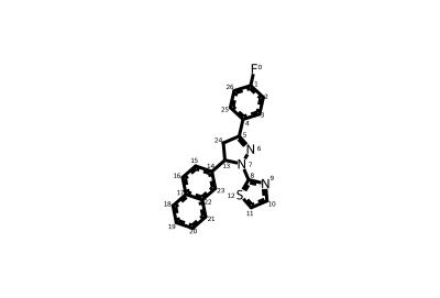 Fc1ccc(C2=NN(c3nccs3)C(c3ccc4ccccc4c3)C2)cc1